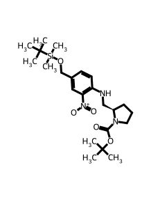 CC(C)(C)OC(=O)N1CCC[C@@H]1CNc1ccc(CO[Si](C)(C)C(C)(C)C)cc1[N+](=O)[O-]